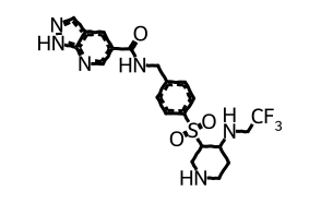 O=C(NCc1ccc(S(=O)(=O)C2CNCCC2NCC(F)(F)F)cc1)c1cnc2[nH]ncc2c1